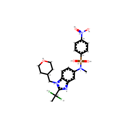 CN(c1ccc2c(c1)nc(C(C)(F)F)n2CC1CCOCC1)S(=O)(=O)c1ccc([N+](=O)[O-])cc1